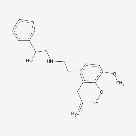 C=CCc1c(CCNCC(O)c2ccccc2)ccc(OC)c1OC